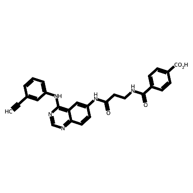 C#Cc1cccc(Nc2ncnc3ccc(NC(=O)CCNC(=O)c4ccc(C(=O)O)cc4)cc23)c1